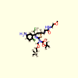 COCCNC(=O)/C=C/[C@@]1(C)SC(N(COCC[Si](C)(C)C)C(=O)OC(C)(C)C)=N[C@](CF)(c2cc(N)ccc2F)[C@@H]1C